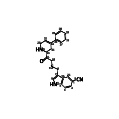 N#Cc1ccc2[nH]cc(CSCC(=O)C3CC(c4ccccc4)=CCN3)c2c1